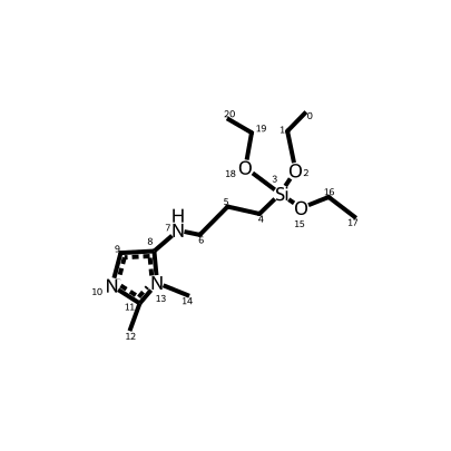 CCO[Si](CCCNc1cnc(C)n1C)(OCC)OCC